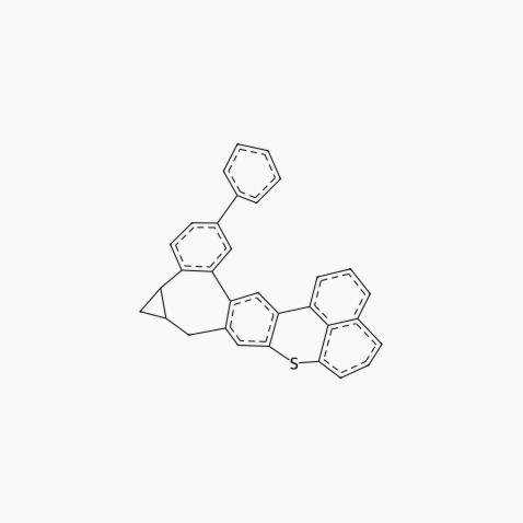 c1ccc(-c2ccc3c(c2)-c2cc4c(cc2CC2CC32)Sc2cccc3cccc-4c23)cc1